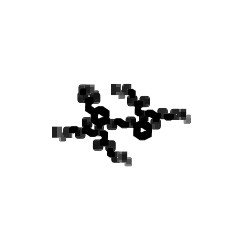 CCOC(=O)CN(CC(=O)OCC)c1ccccc1OCCOc1ccc(CC(=O)OC)cc1N(CC(=O)OCC)CC(=O)OCC